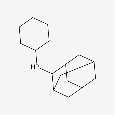 C1CCC(PC2C3CC4CC(C3)CC2C4)CC1